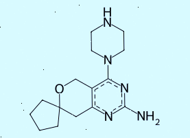 Nc1nc2c(c(N3CCNCC3)n1)COC1(CCCC1)C2